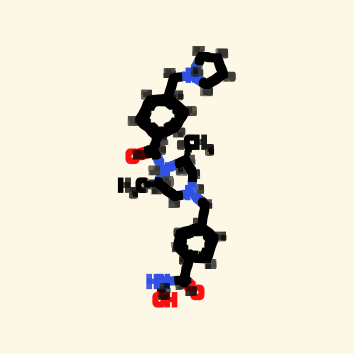 C[C@@H]1CN(Cc2ccc(C(=O)NO)cc2)C[C@H](C)N1C(=O)c1ccc(CN2CCCC2)cc1